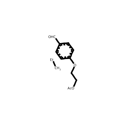 CC(=O)OCCOc1ccc(C=O)cc1.CCC